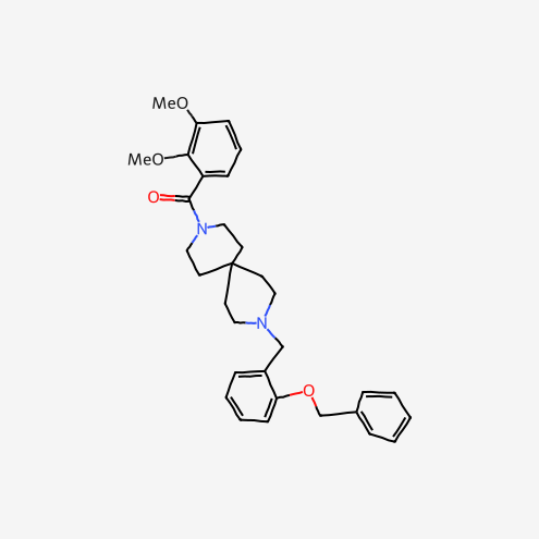 COc1cccc(C(=O)N2CCC3(CCN(Cc4ccccc4OCc4ccccc4)CC3)CC2)c1OC